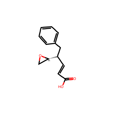 O=C(O)C=CC(Cc1ccccc1)[C@@H]1CO1